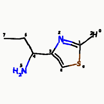 [2H]c1nc(C(N)CC)cs1